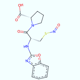 O=NSC[C@H](Nc1nc2ccccc2o1)C(=O)N1CCC[C@H]1C(=O)O